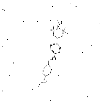 CCOC1CCC(COc2ccc(C3CC(C)(C)N(OC)C(C)(C)C3)cc2)CC1